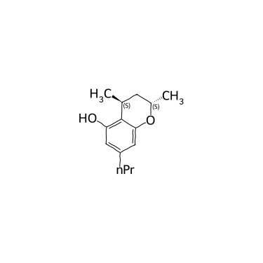 CCCc1cc(O)c2c(c1)O[C@@H](C)C[C@@H]2C